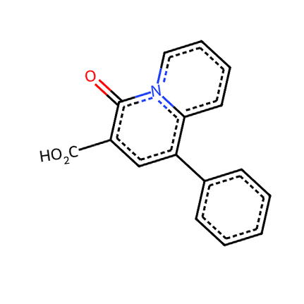 O=C(O)c1cc(-c2ccccc2)c2ccccn2c1=O